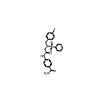 NC(=O)c1ccc(NC(=O)CN(Cc2ccc(F)cc2)S(=O)(=O)c2ccccc2)cc1